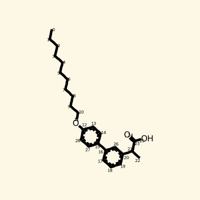 CCCCCCCCCCCOc1ccc(-c2cccc(C(C)C(=O)O)c2)cc1